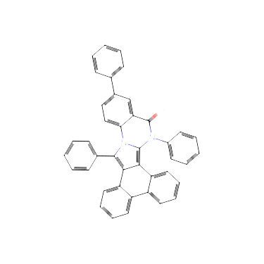 O=c1c2cc(-c3ccccc3)ccc2n2c(-c3ccccc3)c3c4ccccc4c4ccccc4c3c2n1-c1ccccc1